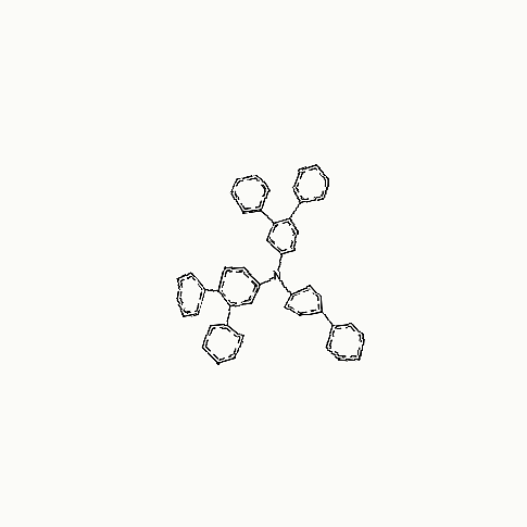 c1ccc(-c2ccc(N(c3ccc(-c4ccccc4)c(-c4ccccc4)c3)c3ccc(-c4ccccc4)c(-c4ccccc4)c3)cc2)cc1